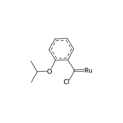 CC(C)Oc1ccccc1[C](Cl)=[Ru]